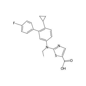 CCN(c1ccc(C2CC2)c(-c2ccc(F)cc2)c1)c1ncc(C(=O)O)s1